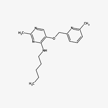 CCCCCNc1nc(C)ncc1OCc1cccc(C)n1